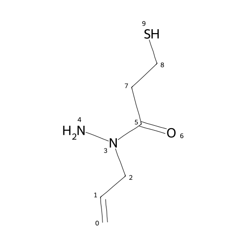 C=CCN(N)C(=O)CCS